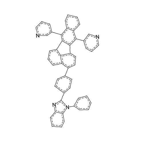 c1ccc(-n2c(-c3ccc(-c4ccc5c6c(cccc46)-c4c-5c(-c5cccnc5)c5ccccc5c4-c4cccnc4)cc3)nc3ccccc32)cc1